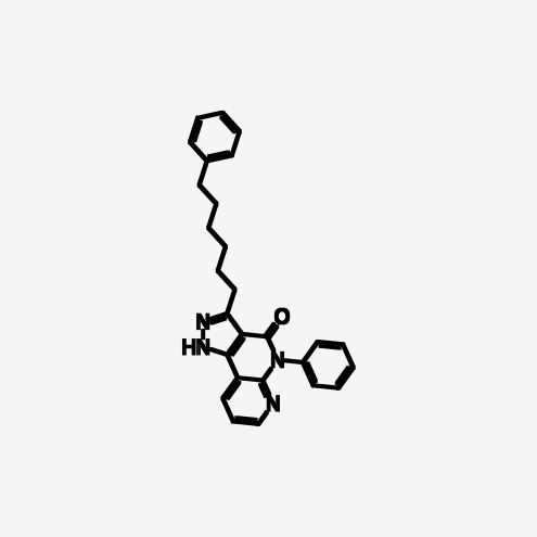 O=c1c2c(CCCCCCc3ccccc3)n[nH]c2c2cccnc2n1-c1ccccc1